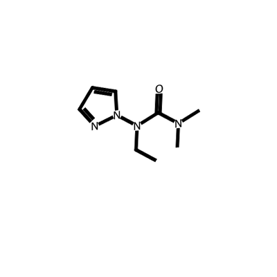 CCN(C(=O)N(C)C)n1cccn1